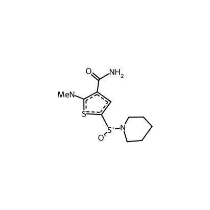 CNc1sc([S+]([O-])N2CCCCC2)cc1C(N)=O